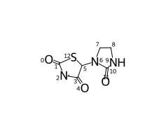 O=C1[N]C(=O)C(N2CCNC2=O)S1